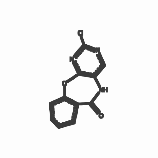 O=C1Nc2cnc(Cl)nc2Oc2ccccc21